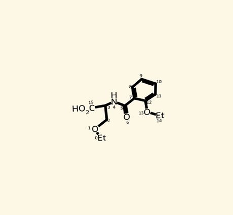 CCOCC(NC(=O)c1ccccc1OCC)C(=O)O